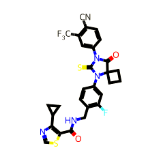 N#Cc1ccc(N2C(=O)C3(CCC3)N(c3ccc(CNC(=O)c4scnc4C4CC4)c(F)c3)C2=S)cc1C(F)(F)F